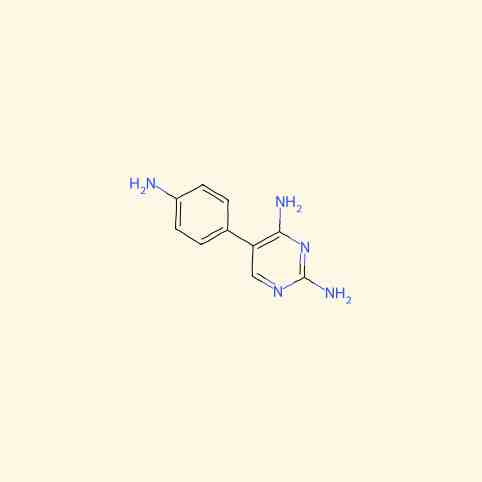 Nc1ccc(-c2cnc(N)nc2N)cc1